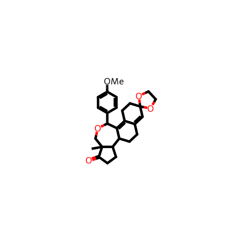 COc1ccc(C2OCC3(C)C(=O)CCC3C3CCC4=CC5(CCC4=C23)OCCO5)cc1